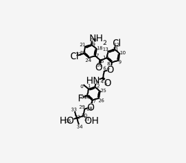 Cc1c(NC(=O)COc2ccc(Cl)cc2C(=O)c2cc(N)cc(Cl)c2)ccc(OC[C@H](O)C(C)(C)O)c1F